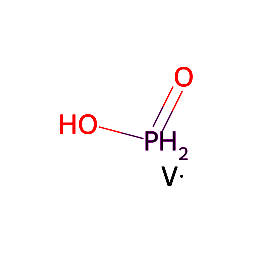 O=[PH2]O.[V]